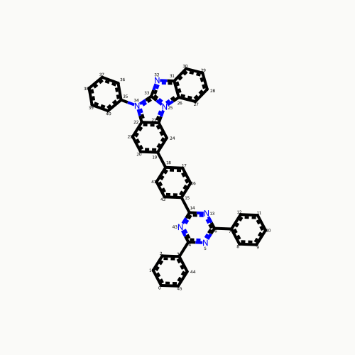 c1ccc(-c2nc(-c3ccccc3)nc(-c3ccc(-c4ccc5c(c4)n4c6ccccc6nc4n5-c4ccccc4)cc3)n2)cc1